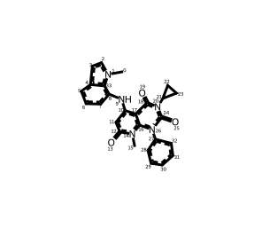 Cn1ccc2cccc(Nc3cc(=O)n(C)c4c3c(=O)n(C3CC3)c(=O)n4-c3ccccc3)c21